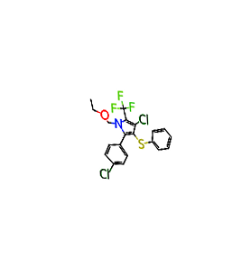 CCOCn1c(-c2ccc(Cl)cc2)c(Sc2ccccc2)c(Cl)c1C(F)(F)F